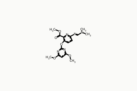 COC(=O)c1nc(/N=C/N(C)C)ccc1Oc1nc(OC)cc(OC)n1